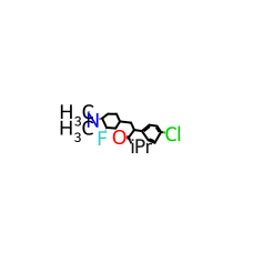 CC(C)C(=O)C(CC1CC[C@@H](N(C)C)[C@@H](F)C1)c1ccc(Cl)cc1